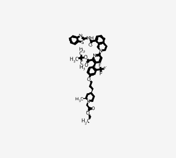 CCOC(=O)CN1CC[C@H](CCCOc2ccc(-c3ccc(N4CCc5cccc(C(=O)Nc6nc7ccccc7s6)c5C4)nc3C(=O)OC(C)(C)C)c(C(F)(F)F)c2)C[C@@H]1C